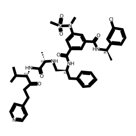 CC(C)[C@H](NC(=O)[C@H](C)NC[C@H](Cc1ccccc1)NC(=O)c1cc(C(=O)N[C@H](C)c2cccc(Cl)c2)cc(N(C)S(C)(=O)=O)c1)C(=O)CCc1ccncc1